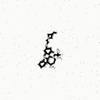 C[C@@H]1CCN(CC(C)(C)F)[C@H](c2c(F)cc(OCCN3CC(CF)C3)cc2F)c2[nH]c3ccccc3c21